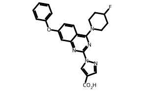 O=C(O)c1cnn(-c2nc(N3CCC(F)CC3)c3ccc(Oc4ccccc4)cc3n2)c1